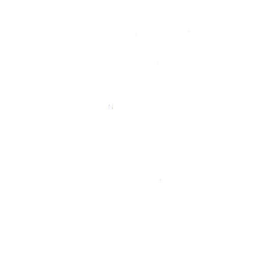 CSc1c(OC(=O)CC(C)(C)C)cc(C)c2c3ccccc3n(Cc3cccc(OCc4ccccc4)c3)c12